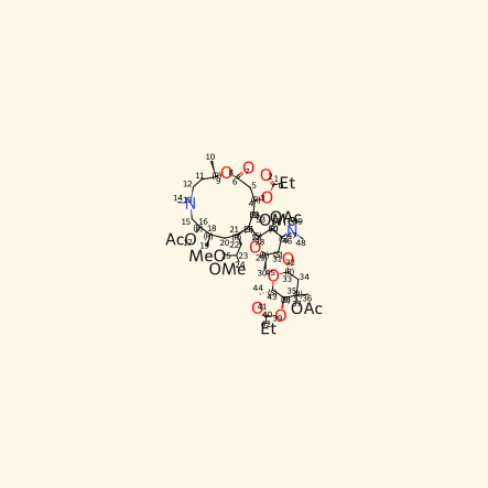 CCC(=O)O[C@@H]1CC(=O)O[C@H](C)CCN(C)C[C@H](OC(C)=O)[C@H](C)C[C@H](CC(OC)OC)[C@H]([C@@H]2O[C@H](C)[C@@H](O[C@@H]3C[C@@](C)(OC(C)=O)[C@@H](OC(=O)CC)[C@H](C)O3)[C@H](N(C)C)[C@H]2OC(C)=O)[C@@H]1OC